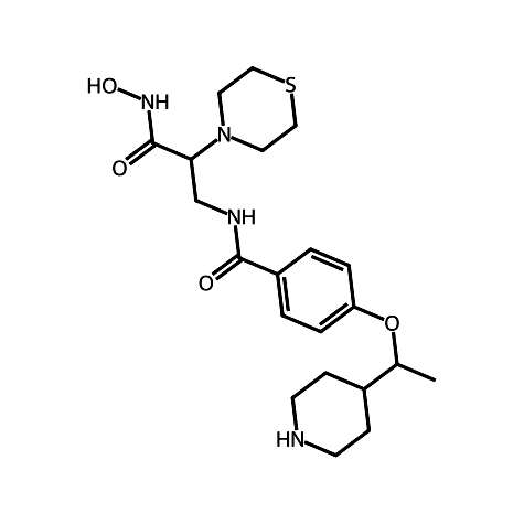 CC(Oc1ccc(C(=O)NCC(C(=O)NO)N2CCSCC2)cc1)C1CCNCC1